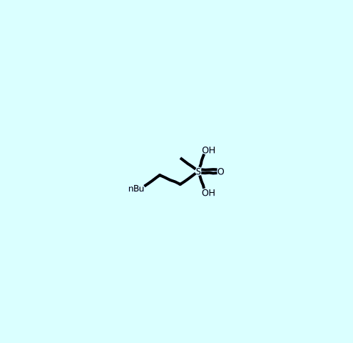 CCCCCCS(C)(=O)(O)O